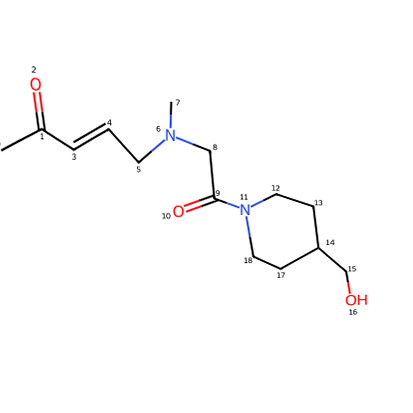 CC(=O)/C=C/CN(C)CC(=O)N1CCC(CO)CC1